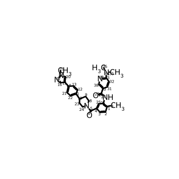 Cc1ccc(C(=O)N2CCC(c3ccc(-c4cnn(C)c4)cc3)CC2)cc1NC(=O)c1ccc(N(C)C)nc1